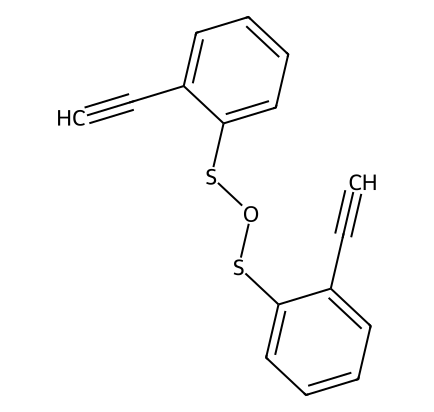 C#Cc1ccccc1SOSc1ccccc1C#C